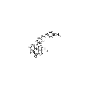 Cc1scc2c1N(C(=O)CN1CCC(CCCN3CCN(C)CC3)CC1)c1ccccc1NC2=O